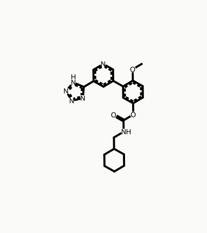 COc1ccc(OC(=O)NCC2CCCCC2)cc1-c1cncc(-c2nnn[nH]2)c1